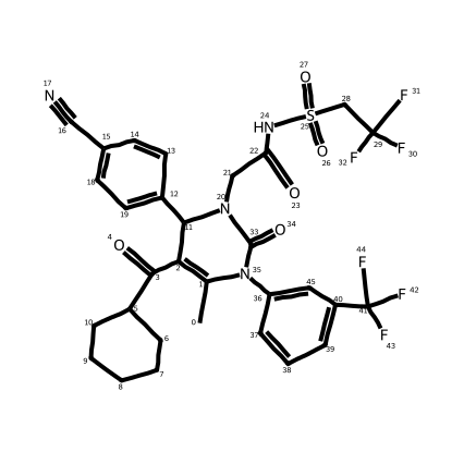 CC1=C(C(=O)C2CCCCC2)C(c2ccc(C#N)cc2)N(CC(=O)NS(=O)(=O)CC(F)(F)F)C(=O)N1c1cccc(C(F)(F)F)c1